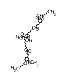 CCCCCOc1ccc(C=CC(=O)OCCCCCCC(CCCCCCOC(=O)C=Cc2ccc(OCCCCC)c(OC)c2)(C(=O)O)C(=O)O)cc1OC